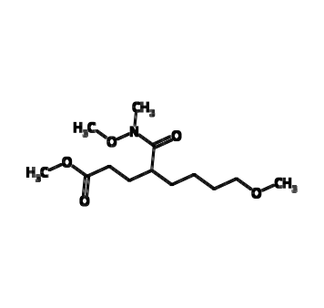 COCCCCC(CCC(=O)OC)C(=O)N(C)OC